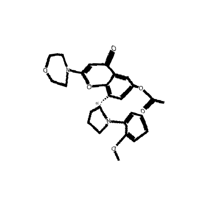 COc1ccccc1N1CCC[C@@H]1c1cc(OC(C)=O)cc2c(=O)cc(N3CCOCC3)oc12